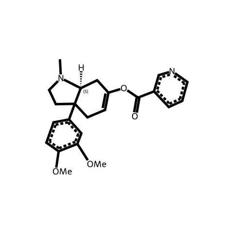 COc1ccc(C23CC=C(OC(=O)c4cccnc4)C[C@@H]2N(C)CC3)cc1OC